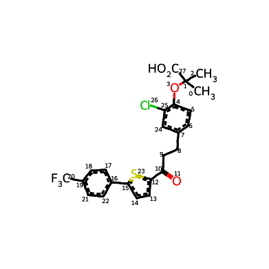 CC(C)(Oc1ccc(CCC(=O)c2ccc(-c3ccc(C(F)(F)F)cc3)s2)cc1Cl)C(=O)O